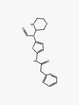 O=CN(c1ccc(NC(=O)Cc2ccccn2)s1)C1COCCN1